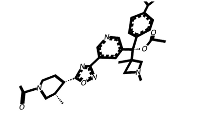 CC(=O)O[C@@](c1ccc(C(C)C)cc1)(c1cncc(-c2noc([C@H]3CCN(C(C)=O)C[C@H]3C)n2)c1)C1(C)CN(C)C1